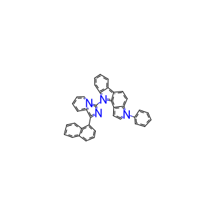 c1ccc(-n2ccc3c2ccc2c4ccccc4n(-c4nc(-c5cccc6ccccc56)c5ccccn45)c23)cc1